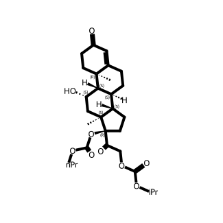 CCCOC(=O)O[C@]1(C(=O)COC(=O)OC(C)C)CC[C@H]2[C@@H]3CCC4=CC(=O)CC[C@]4(C)[C@H]3[C@@H](O)C[C@@]21C